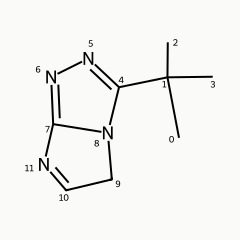 CC(C)(C)c1nnc2n1CC=N2